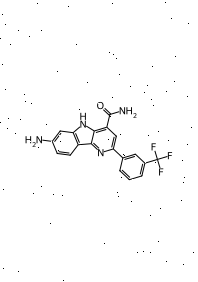 NC(=O)c1cc(-c2cccc(C(F)(F)F)c2)nc2c1[nH]c1cc(N)ccc12